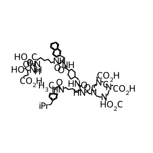 CC(C)Cc1ccc(C(C)C(=O)NCCCCC(NC(=O)CN2CCN(CC(=O)O)CCN(CC(=O)O)CCN(CC(=O)O)CC2)C(=O)NCC2CCC(C(=O)NC(Cc3ccc4ccccc4c3)C(=O)NCCCCC(NC(=O)NC(CCC(=O)O)C(O)O)C(=O)O)CC2)cc1